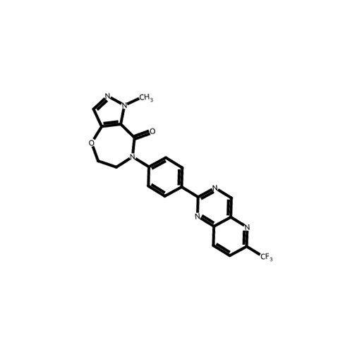 Cn1ncc2c1C(=O)N(c1ccc(-c3ncc4nc(C(F)(F)F)ccc4n3)cc1)CCO2